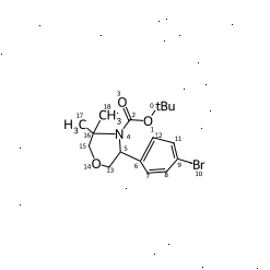 CC(C)(C)OC(=O)N1C(c2ccc(Br)cc2)COCC1(C)C